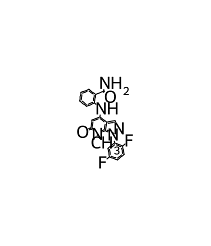 Cn1c(=O)cc(Nc2ccccc2C(N)=O)c2cnn(-c3cc(F)ccc3F)c21